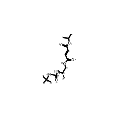 CC(C)OC(=O)/C=C/C(=O)OC[C@@H](C)NC(=O)NC(C)(C)C